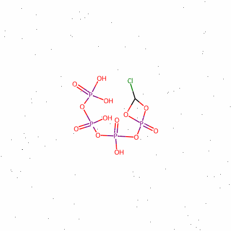 O=P(O)(O)OP(=O)(O)OP(=O)(O)OP1(=O)OC(Cl)O1